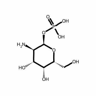 N[C@H]1[C@@H](OP(=O)(O)O)O[C@H](CO)[C@H](O)[C@@H]1O